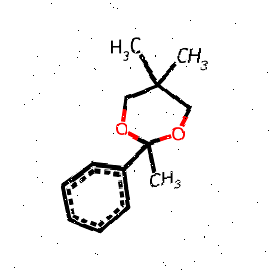 CC1(C)COC(C)(c2ccccc2)OC1